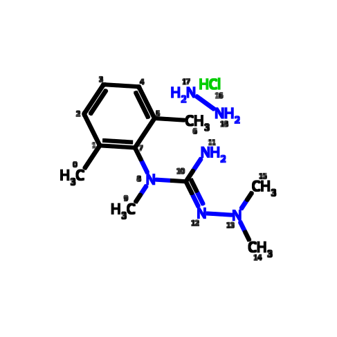 Cc1cccc(C)c1N(C)/C(N)=N/N(C)C.Cl.NN